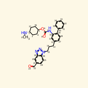 CN[C@H]1CC[C@H](OC(=O)Nc2cc(CCCn3nnc4cc(C=O)ccc43)ccc2-c2ccccc2)CC1